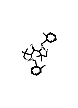 Cc1ccccc1CN1OCC(C)(C)C1C(=O)C1N(Cc2ccccc2C)OCC1(C)C